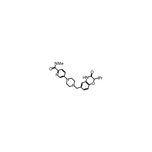 CNC(=O)c1ccc(N2CCN(Cc3ccc4c(c3)NC(=O)C(C(C)C)O4)CC2)cn1